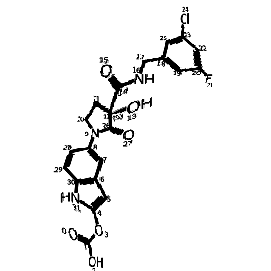 O=C(O)Oc1cc2cc(N3CC[C@](O)(C(=O)NCc4cc(F)cc(Cl)c4)C3=O)ccc2[nH]1